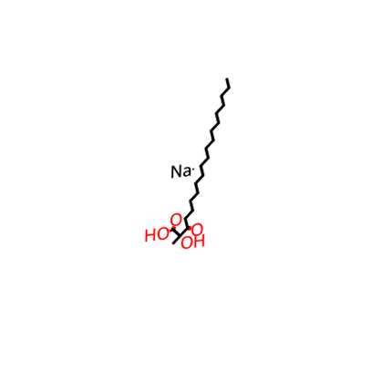 CCCCCCCCCCCCCCCCCC(=O)C(C)(O)C(=O)O.[Na]